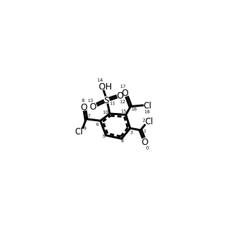 O=C(Cl)c1ccc(C(=O)Cl)c(S(=O)(=O)O)c1C(=O)Cl